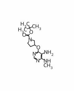 CNc1ncnc(OC2CCN(C(=O)OC(C)(C)C)C2)c1N